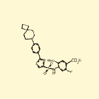 COc1cc(C(=O)O)c(F)cc1NS(=O)(=O)c1csc(-c2ccc(N3CCC4(CCC4)CC3)cc2)n1